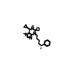 C[C@H](CCCCN1C(=O)N(C)C(=C2CC2)c2c1ncn2C)c1ccccc1